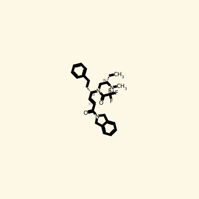 CC[C@@H](CN(C(=O)C(F)(F)F)[C@H](/C=C/C(=O)N1Cc2ccccc2C1)CCc1ccccc1)NC